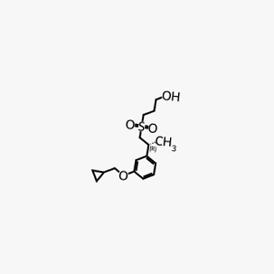 C[C@@H](CS(=O)(=O)CCCO)c1cccc(OCC2CC2)c1